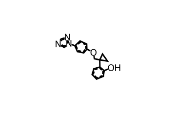 Oc1ccccc1C1(COc2ccc(-n3cncn3)cc2)CC1